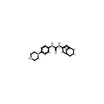 O=C(Nc1ccc(N2CCOCC2)cc1)NC12CC3CCCC(C3)(C1)C2